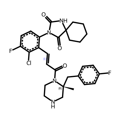 C[C@@]1(Cc2ccc(F)cc2)CNCCN1C(=O)/C=C/c1c(N2C(=O)NC3(CCCCC3)C2=O)ccc(F)c1Cl